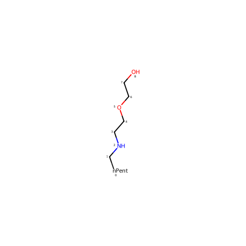 CCCCCCNCCOCCO